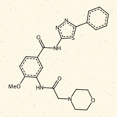 COc1ccc(C(=O)Nc2nnc(-c3ccccc3)s2)cc1NC(=O)CN1CCOCC1